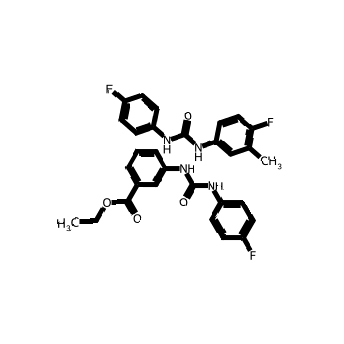 CCOC(=O)c1cccc(NC(=O)Nc2ccc(F)cc2)c1.Cc1cc(NC(=O)Nc2ccc(F)cc2)ccc1F